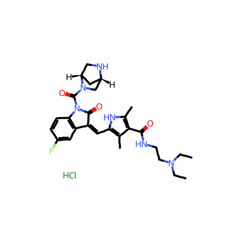 CCN(CC)CCNC(=O)c1c(C)[nH]c(C=C2C(=O)N(C(=O)N3C[C@@H]4C[C@H]3CN4)c3ccc(F)cc32)c1C.Cl